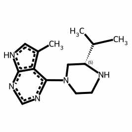 Cc1c[nH]c2ncnc(N3CCN[C@@H](C(C)C)C3)c12